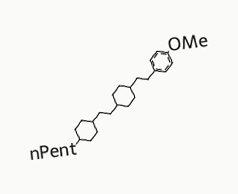 CCCCCC1CCC(CCC2CCC(CCc3ccc(OC)cc3)CC2)CC1